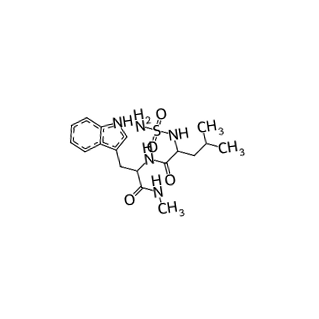 CNC(=O)C(Cc1c[nH]c2ccccc12)NC(=O)C(CC(C)C)NS(N)(=O)=O